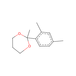 Cc1ccc(C2(C)OCCCO2)c(C)c1